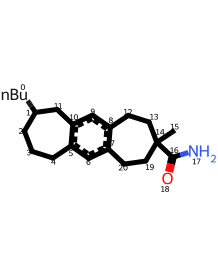 CCCCC1CCCc2cc3c(cc2C1)CCC(C)(C(N)=O)CC3